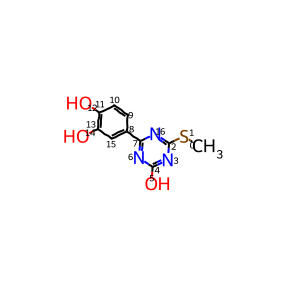 CSc1nc(O)nc(-c2ccc(O)c(O)c2)n1